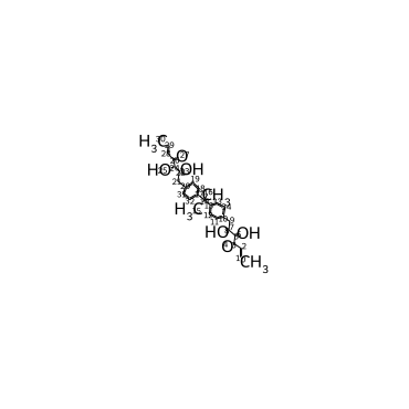 CC=CC(=O)C(O)C(O)Cc1ccc(C(C)(C)c2ccc(CC(O)C(O)C(=O)C=CC)cc2)cc1